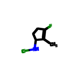 CC1=C(F)CCC1NCl